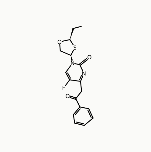 CC[C@@H]1OC[C@H](n2cc(F)c(CC(=O)c3ccccc3)nc2=O)S1